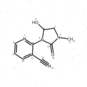 CN1CC(O)N(c2ncccc2C#N)C1=O